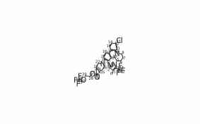 Cc1cnn(C2CCCN(c3cc(Cl)ccc3-c3ccc(N4CCN(C(=O)OCCOC(F)(F)F)CC4)cc3)C2)c1C(F)(F)F